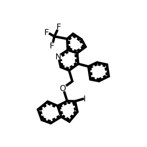 FC(F)(F)c1cccc2c(-c3ccccc3)c(COc3c(I)ccc4ccccc34)cnc12